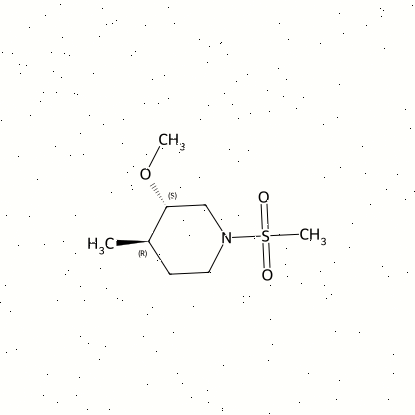 CO[C@@H]1CN(S(C)(=O)=O)CC[C@H]1C